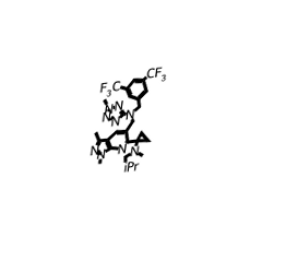 Cc1nn(C)c2nc(C3(N(C)CC(C)C)CC3)c(CN(Cc3cc(C(F)(F)F)cc(C(F)(F)F)c3)c3nnn(C)n3)cc12